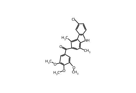 COc1cc(C(=O)c2cc(C)c3[nH]c4ccc(Cl)cc4c3c2C)cc(OC)c1OC